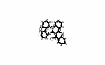 O=c1c2ccccc2nc2c3ccccc3n(-c3cccc4oc5ccccc5c34)c(=O)n12